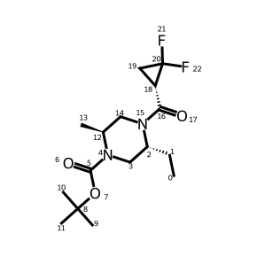 CC[C@@H]1CN(C(=O)OC(C)(C)C)[C@@H](C)CN1C(=O)[C@@H]1CC1(F)F